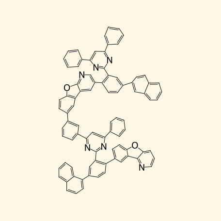 c1ccc(-c2cc(-c3ccccc3)nc(-c3cc(-c4ccc5ccccc5c4)ccc3-c3cnc4oc5ccc(-c6cccc(-c7cc(-c8ccccc8)nc(-c8cc(-c9cccc%10ccccc9%10)ccc8-c8ccc9oc%10cccnc%10c9c8)n7)c6)cc5c4c3)n2)cc1